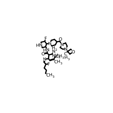 CCCCC(F)/C=N\C(/C=C(/C)CC)C(C(=O)NC1CNCC(F)C1N1CCC(C(=O)N2CCN(C3(C)COC3)CC2)CC1)C(N)N